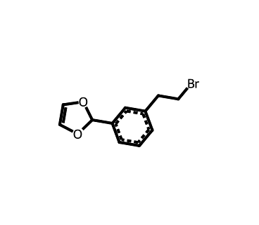 BrCCc1cccc(C2OC=CO2)c1